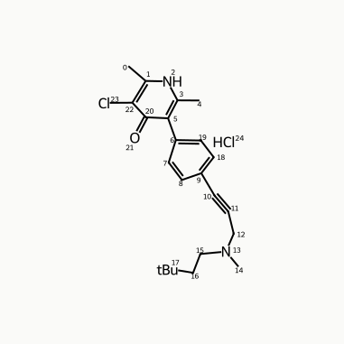 Cc1[nH]c(C)c(-c2ccc(C#CCN(C)CCC(C)(C)C)cc2)c(=O)c1Cl.Cl